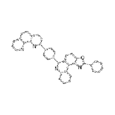 c1ccc(-c2nc3c(ccc4c(-c5ccc(-c6ccc7ccc8cccnc8c7n6)cc5)nc5ccccc5c43)o2)cc1